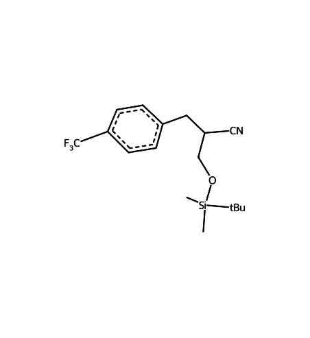 CC(C)(C)[Si](C)(C)OCC(C#N)Cc1ccc(C(F)(F)F)cc1